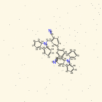 N#Cc1cc(-c2ccc(C#N)c(Cn3c4ccccc4c4ccccc43)c2)cc(-c2ccccc2-n2c3ccccc3c3ccccc32)c1